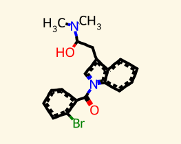 CN(C)C(O)Cc1cn(C(=O)c2ccccc2Br)c2ccccc12